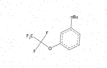 [CH]CCCc1cccc(OC(F)(F)C(F)(F)F)c1